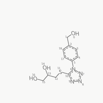 OCc1ccc(-n2nnnc2SCC(O)CO)cc1